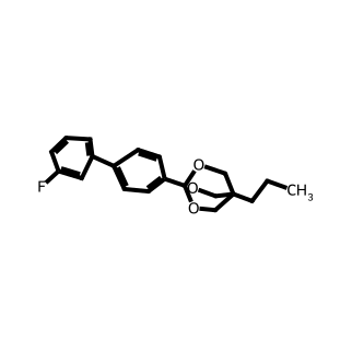 CCCC12COC(c3ccc(-c4cccc(F)c4)cc3)(OC1)OC2